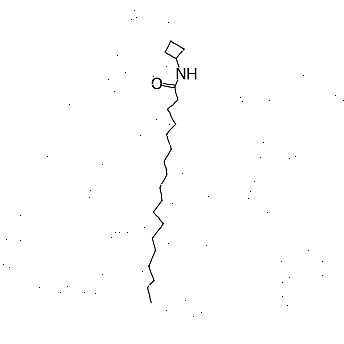 CCCCCCCCCCCCCCCCCC(=O)NC1CCC1